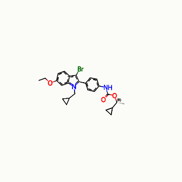 CCOc1ccc2c(Br)c(-c3ccc(NC(=O)O[C@H](C)C4CC4)cc3)n(CC3CC3)c2c1